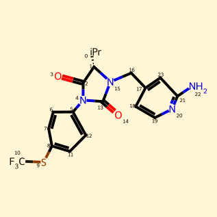 CC(C)[C@H]1C(=O)N(c2ccc(SC(F)(F)F)cc2)C(=O)N1Cc1ccnc(N)c1